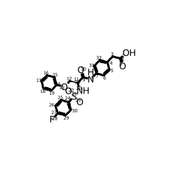 O=C(O)Cc1ccc(NC(=O)[C@H](COc2ccccc2)NS(=O)(=O)c2ccc(F)cc2)cc1